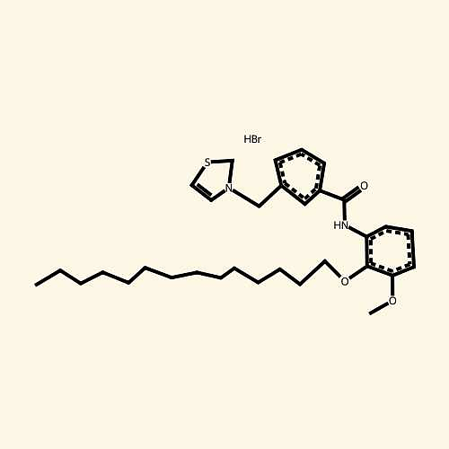 Br.CCCCCCCCCCCCCCOc1c(NC(=O)c2cccc(CN3C=CSC3)c2)cccc1OC